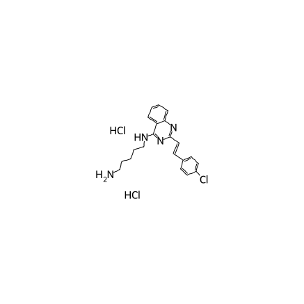 Cl.Cl.NCCCCCNc1nc(/C=C/c2ccc(Cl)cc2)nc2ccccc12